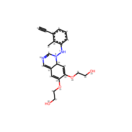 C#Cc1cccc(NN2C=NC=C3C=C(OCCO)C(OCCO)=CC32)c1C